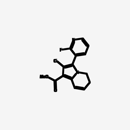 COC(=O)c1c(Cl)c(-c2cccnc2F)n2c1C=CCC2